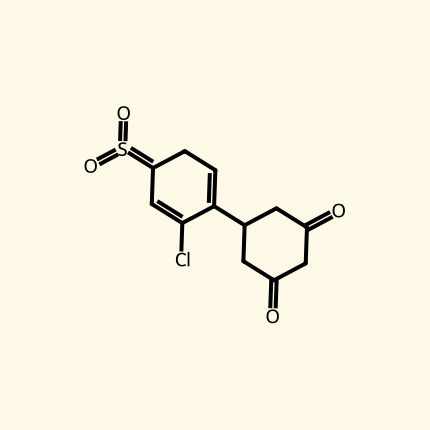 O=C1CC(=O)CC(C2=CCC(=S(=O)=O)C=C2Cl)C1